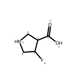 O=C(O)C1CNCC1F